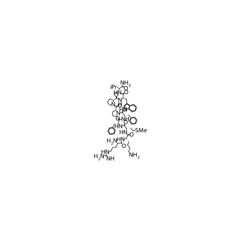 CSCC[C@H](NC(=O)[C@H](CCCCN)NC(=O)[C@@H](N)CCCNC(=N)N)C(=O)N[C@H](Cc1ccccc1)C(=O)N[C@@H](Cc1ccccc1)C(=O)N1CCC[C@H]1C(=O)N1CCC[C@H]1C(=O)N[C@H](Cc1c[nH]c2ccccc12)C(=O)N[C@H](C(N)=O)C(C)C